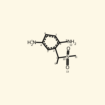 CC(c1cc(N)ccc1N)S(C)(=O)=O